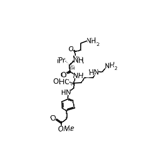 COC(=O)Cc1ccc(NC[C@@](C=O)(CCCNCN)NC(=O)[C@@H](NC(=O)CCN)C(C)C)cc1